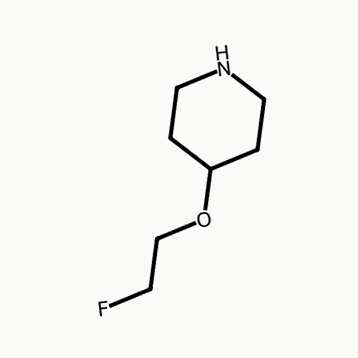 FCCOC1CCNCC1